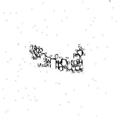 [2H]C([2H])([2H])N(C(=O)/C=C/CCC(NC(=O)OC)C(=O)Nc1cccn(Cc2cc3cc(F)cc(OCc4ccc(F)cc4F)c3n2C(=O)O)c1=O)C([2H])([2H])[2H]